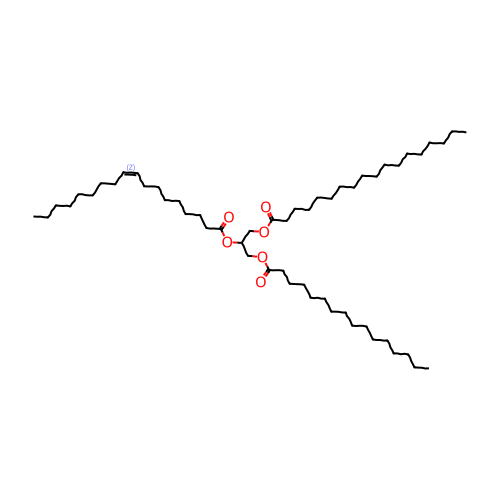 CCCCCCCC/C=C\CCCCCCCC(=O)OC(COC(=O)CCCCCCCCCCCCCCC)COC(=O)CCCCCCCCCCCCCCCCC